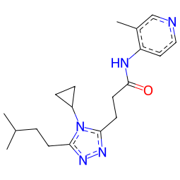 Cc1cnccc1NC(=O)CCc1nnc(CCC(C)C)n1C1CC1